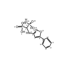 O=P(O)(O)C(Nc1cc(-c2ccccc2)on1)P(=O)(O)O